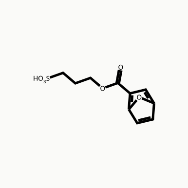 O=C(OCCCS(=O)(=O)O)c1cc2ccc1o2